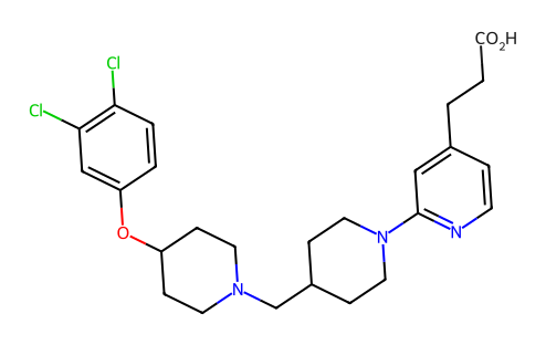 O=C(O)CCc1ccnc(N2CCC(CN3CCC(Oc4ccc(Cl)c(Cl)c4)CC3)CC2)c1